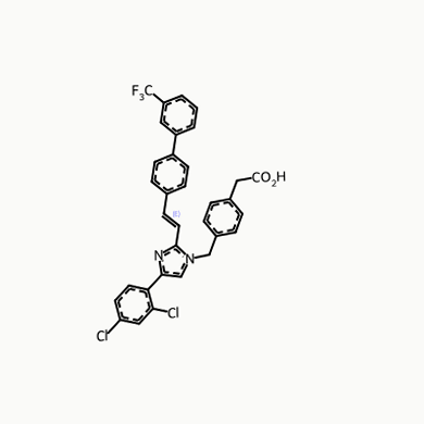 O=C(O)Cc1ccc(Cn2cc(-c3ccc(Cl)cc3Cl)nc2/C=C/c2ccc(-c3cccc(C(F)(F)F)c3)cc2)cc1